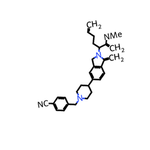 C=CCCC(C(=C)NC)N1Cc2cc(C3CCN(Cc4ccc(C#N)cc4)CC3)ccc2C1=C